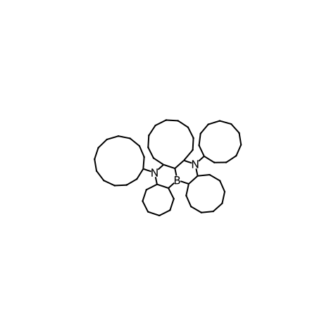 C1CCCCCCC(N2C3CCCCCCC3B3C4CCCCCCCCC4N(C4CCCCCCCCCC4)C4CCCCCCCCCC2C34)CCCCC1